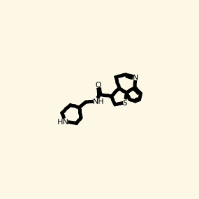 O=C(NCC1CCNCC1)C1CSC23CC=CC=C2N=CCC13